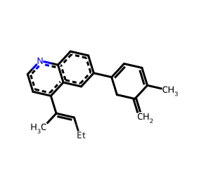 C=C1CC(c2ccc3nccc(C(C)=CCC)c3c2)=CC=C1C